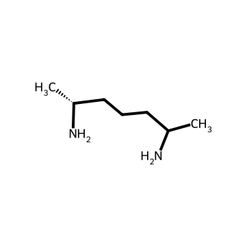 CC(N)CCC[C@@H](C)N